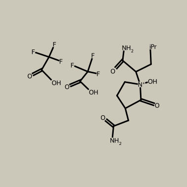 CC(C)CC(C(N)=O)[N+]1(O)CCC(CC(N)=O)C1=O.O=C(O)C(F)(F)F.O=C(O)C(F)(F)F